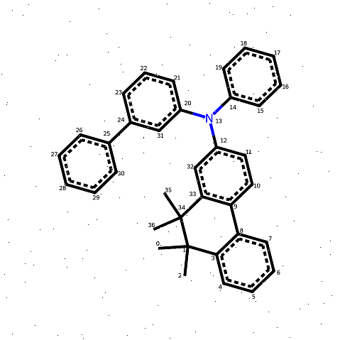 CC1(C)c2ccccc2-c2ccc(N(c3ccccc3)c3cccc(-c4ccccc4)c3)cc2C1(C)C